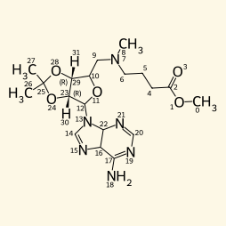 COC(=O)CCCN(C)CC1OC(N2C=NC3C(N)=NC=NC32)[C@@H]2OC(C)(C)O[C@H]12